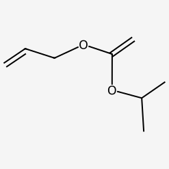 C=CCOC(=C)OC(C)C